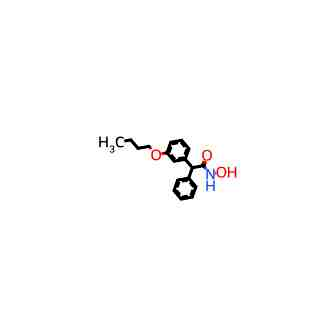 CCCCOc1cccc(C(C(=O)NO)c2ccccc2)c1